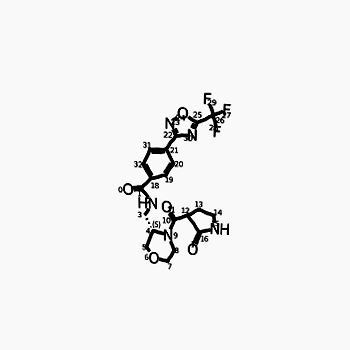 O=C(NC[C@H]1COCCN1C(=O)C1CCNC1=O)c1ccc(-c2noc(C(F)(F)F)n2)cc1